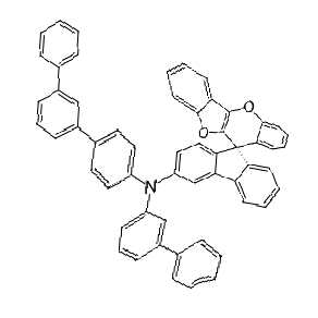 c1ccc(-c2cccc(-c3ccc(N(c4cccc(-c5ccccc5)c4)c4ccc5c(c4)-c4ccccc4[C@]54c5ccccc5Oc5c4oc4ccccc54)cc3)c2)cc1